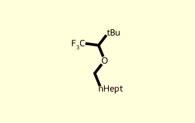 CCCCCCCCOC(C(C)(C)C)C(F)(F)F